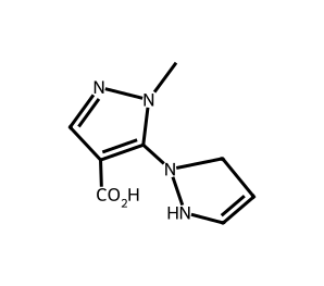 Cn1ncc(C(=O)O)c1N1CC=CN1